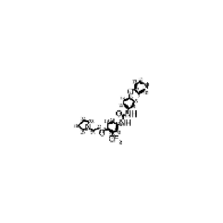 O=C(Nc1ccc(Oc2ccncc2)cc1)Nc1ccc(OCCN2CCCC2)c(C(F)(F)F)c1